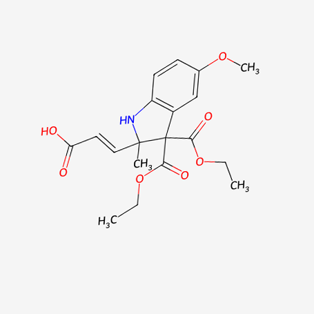 CCOC(=O)C1(C(=O)OCC)c2cc(OC)ccc2NC1(C)C=CC(=O)O